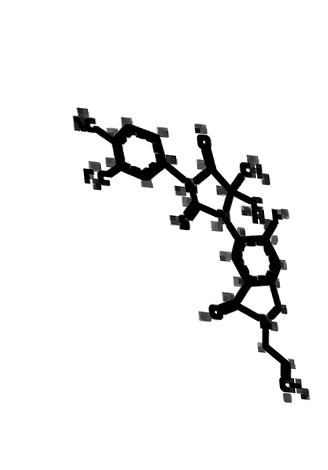 C=CCN1Cc2cc(F)c(N3C(=S)N(c4ccc(C#N)c(C(F)(F)F)c4)C(=O)C3(C)C)cc2C1=O